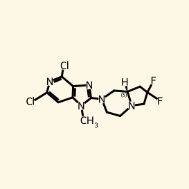 Cn1c(N2CCN3CC(F)(F)C[C@H]3C2)nc2c(Cl)nc(Cl)cc21